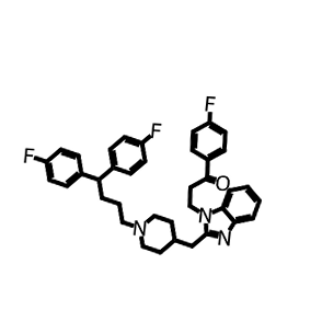 O=C(CCn1c(CC2CCN(CCCC(c3ccc(F)cc3)c3ccc(F)cc3)CC2)nc2ccccc21)c1ccc(F)cc1